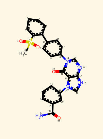 CS(=O)(=O)c1ccccc1-c1ccc(-n2cnc3ncn(-c4cccc(C(N)=O)c4)c3c2=O)cc1